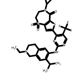 CCN1CCc2cc(Nc3ncc(C(F)(F)F)c(-c4cc5c(s4)C(=O)N(C4CC4)CCS5(=O)=O)n3)c(C(C)C)cc2C1